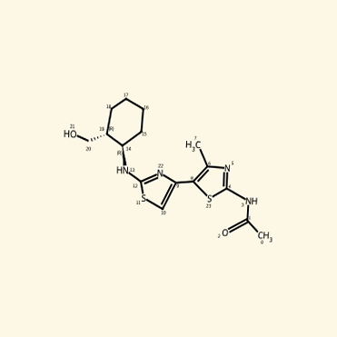 CC(=O)Nc1nc(C)c(-c2csc(N[C@@H]3CCCC[C@H]3CO)n2)s1